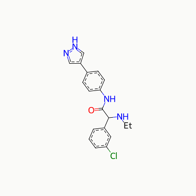 CCNC(C(=O)Nc1ccc(-c2cn[nH]c2)cc1)c1cccc(Cl)c1